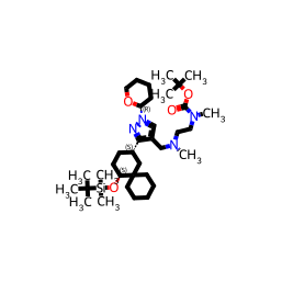 CN(CCN(C)C(=O)OC(C)(C)C)Cc1cn([C@H]2CCCCO2)nc1[C@H]1CC[C@H](O[Si](C)(C)C(C)(C)C)C2(CCCCC2)C1